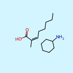 CCCCCC=C(C)C(=O)O.NC1CCCCC1